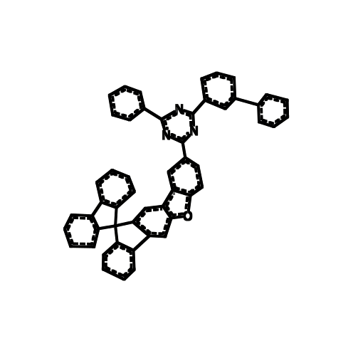 c1ccc(-c2cccc(-c3nc(-c4ccccc4)nc(-c4ccc5oc6cc7c(cc6c5c4)C4(c5ccccc5-c5ccccc54)c4ccccc4-7)n3)c2)cc1